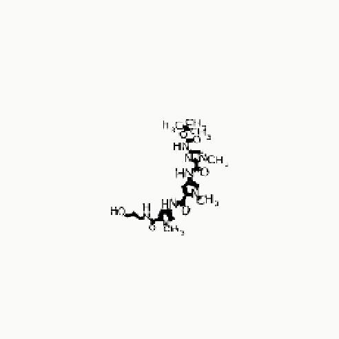 Cn1cc(NC(=O)c2cc(NC(=O)c3nc(NC(=O)OC(C)(C)C)cn3C)cn2C)cc1C(=O)NCCCO